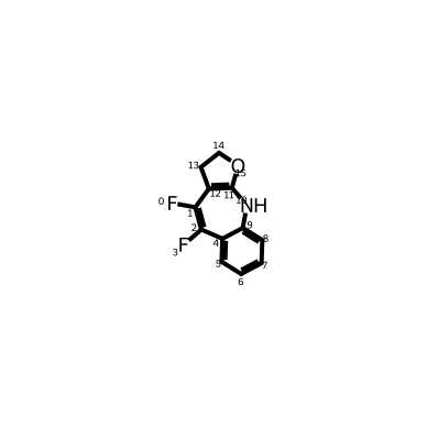 FC1=C(F)c2ccccc2NC2=C1CCO2